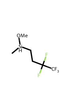 CO[SiH](C)CCC(F)(F)C(F)(F)F